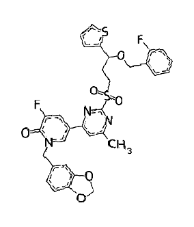 Cc1cc(-c2cc(F)c(=O)n(Cc3ccc4c(c3)OCO4)c2)nc(S(=O)(=O)CCC(OCc2ccccc2F)c2cccs2)n1